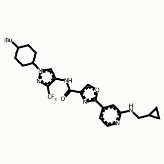 CCC(C)C1CCC(n2cc(NC(=O)c3coc(-c4ccnc(NCC5CC5)c4)n3)c(C(F)(F)F)n2)CC1